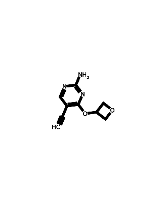 C#Cc1cnc(N)nc1OC1COC1